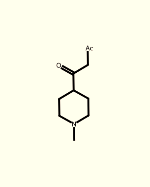 CC(=O)CC(=O)C1CCN(C)CC1